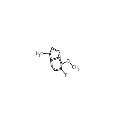 COc1c(F)ccc2c(C)cnn12